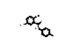 Cc1ccc(O)c(C(=O)Nc2ccc(I)cc2)c1